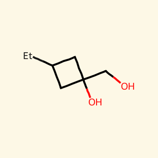 CCC1CC(O)(CO)C1